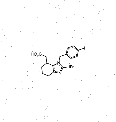 CC(C)c1nc2c(n1Cc1ccc(I)cc1)C(CC(=O)O)CCC2